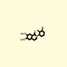 COc1cc2c(=O)n(-c3cccc(Br)c3C)ccc2cc1C=O